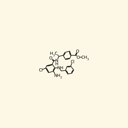 COC(=O)c1ccc([C@H](C)NC(=O)c2cc(Cl)cc(N)c2NCc2cccc(Cl)c2)cc1